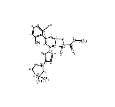 CC(C)(C)OC(=O)N1Cc2nc(-c3c(F)cccc3C#N)cc(-n3ccc(N4CCC[C@](O)(C(F)(F)F)C4)n3)c2C1=O